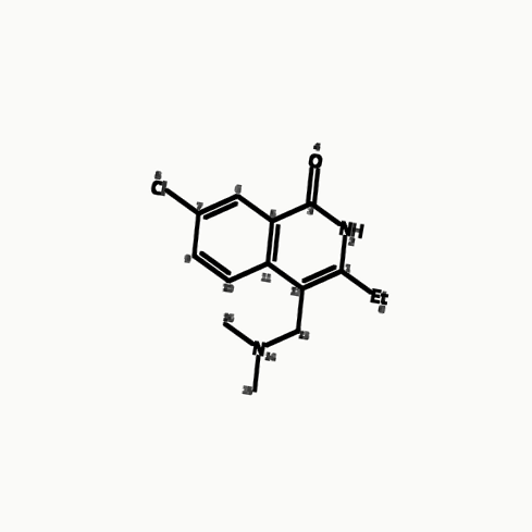 CCc1[nH]c(=O)c2cc(Cl)ccc2c1CN(C)C